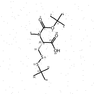 CN(C(=O)OC(C)(C)C)[C@@H](CSSC(C)(C)C)C(=O)O